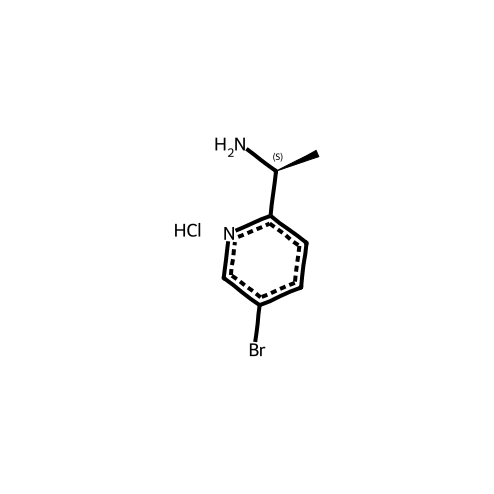 C[C@H](N)c1ccc(Br)cn1.Cl